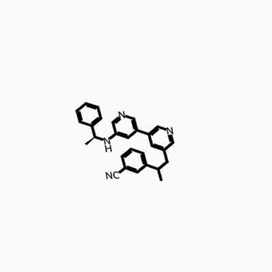 CC(Cc1cncc(-c2cncc(N[C@@H](C)c3ccccc3)c2)c1)c1cccc(C#N)c1